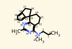 CCCN(C)c1nc(C)nc2c1CCCC21CCc2ccccc21